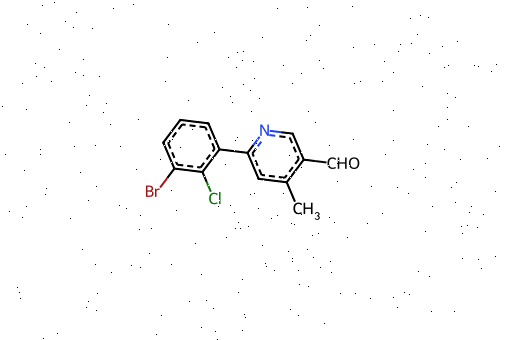 Cc1cc(-c2cccc(Br)c2Cl)ncc1C=O